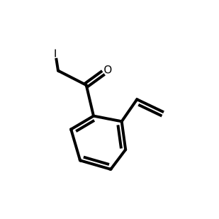 C=Cc1ccccc1C(=O)CI